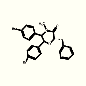 CN1C(=O)[C@H](Cc2ccccc2)OC(c2ccc(Br)cc2)C1c1ccc(Br)cc1